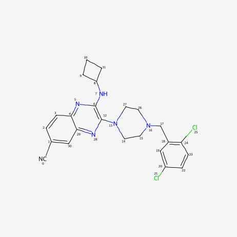 N#Cc1ccc2nc(NC3CCC3)c(N3CCN(Cc4cc(Cl)ccc4Cl)CC3)nc2c1